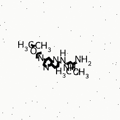 CC(C)OC1CN(c2cnc3ccc(N/C(N)=C/C(=C\N)C(C)C)nc3c2)C1